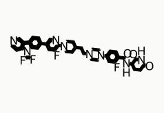 O=C1CCC(NC(=O)c2ccc(N3CCN(CCC4CCN(c5ncc(-c6ccc7c8cnccc8n(C(F)F)c7c6)cc5F)CC4)CC3)cc2F)C(=O)N1